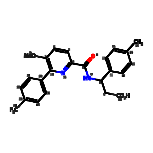 COc1ccc(C(=O)NC(CC(=O)O)c2ccc(C)cc2)nc1-c1ccc(C(F)(F)F)cc1